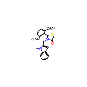 COc1cccc(OC)c1C1SCC(=O)N1Cc1cc2ccccc2n1C